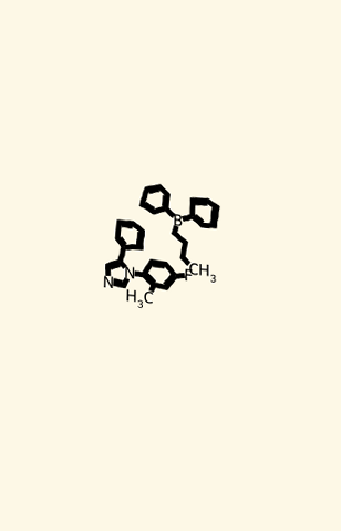 CCCCB(c1ccccc1)c1ccccc1.Cc1cc(F)ccc1-n1cncc1-c1ccccc1